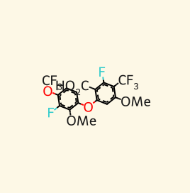 COc1cc(Oc2ccc(OC(F)(F)F)c(F)c2OC)c(C(=O)O)c(F)c1C(F)(F)F